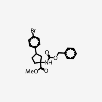 COC(=O)C1(NC(=O)OCc2ccccc2)CCC(c2ccc(Br)cc2)C1